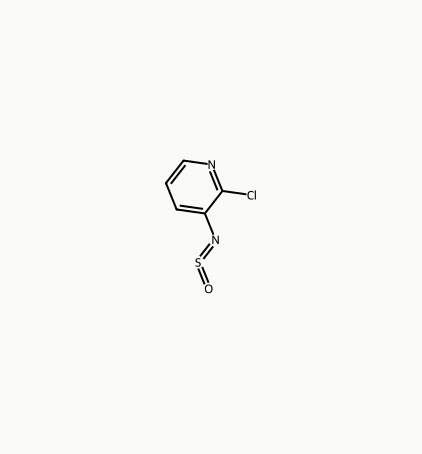 O=S=Nc1cccnc1Cl